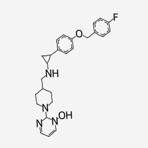 ON1C=CC=NC1N1CCC(CNC2CC2c2ccc(OCc3ccc(F)cc3)cc2)CC1